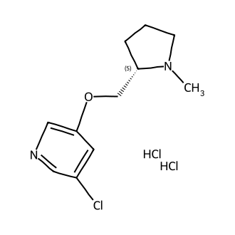 CN1CCC[C@H]1COc1cncc(Cl)c1.Cl.Cl